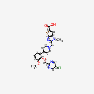 COc1cccc(C2=CCN(Cc3nc4sc(C(=O)O)cc4n3C)CC2)c1OCC1=NCC(Cl)C=N1